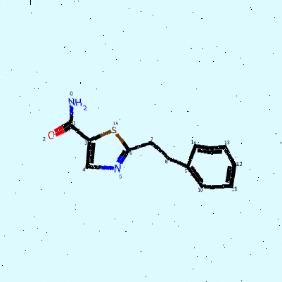 NC(=O)c1cnc(CCc2ccccc2)s1